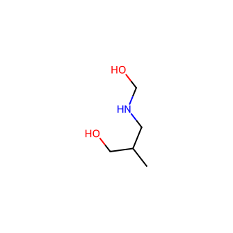 CC(CO)CNCO